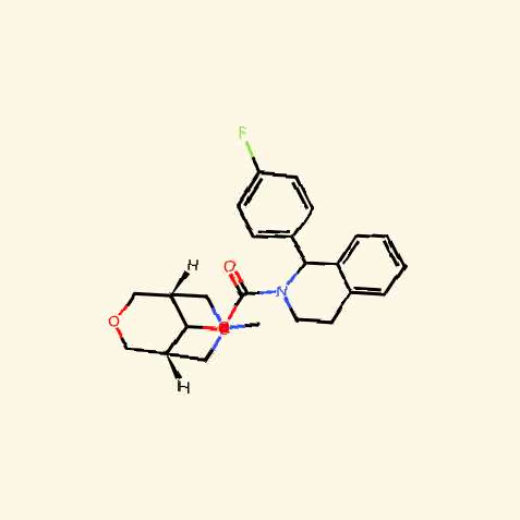 CN1C[C@H]2COC[C@@H](C1)C2OC(=O)N1CCc2ccccc2C1c1ccc(F)cc1